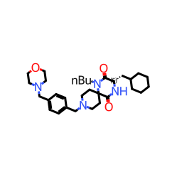 CCCCN1C(=O)[C@H](CC2CCCCC2)NC(=O)C12CCN(Cc1ccc(CN3CCOCC3)cc1)CC2